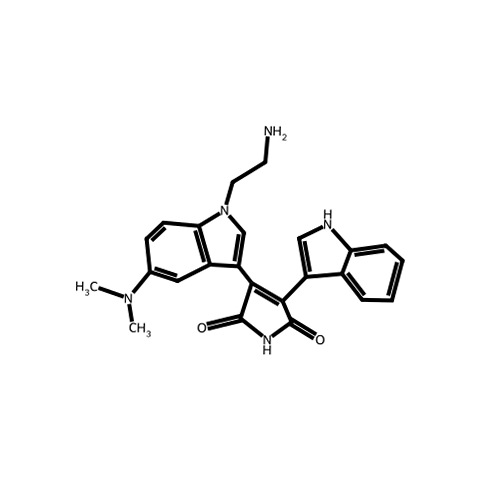 CN(C)c1ccc2c(c1)c(C1=C(c3c[nH]c4ccccc34)C(=O)NC1=O)cn2CCN